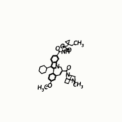 CCC1(S(=O)(=O)NC(=O)c2ccc3c(C4CCCCC4)c4n(c3c2)CC(C(=O)N2C3CCC35C2CN5C)=Cc2cc(OC)ccc2-4)CC1